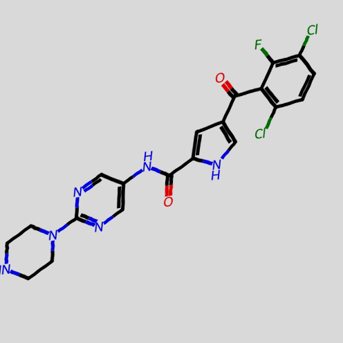 O=C(Nc1cnc(N2CCNCC2)nc1)c1cc(C(=O)c2c(Cl)ccc(Cl)c2F)c[nH]1